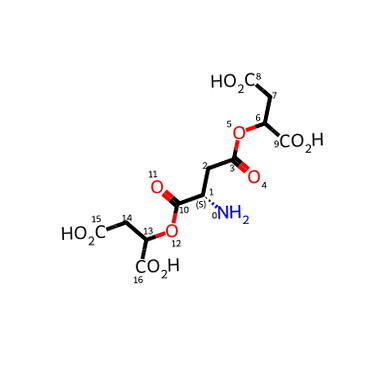 N[C@@H](CC(=O)OC(CC(=O)O)C(=O)O)C(=O)OC(CC(=O)O)C(=O)O